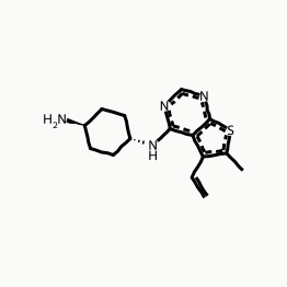 C=Cc1c(C)sc2ncnc(N[C@H]3CC[C@H](N)CC3)c12